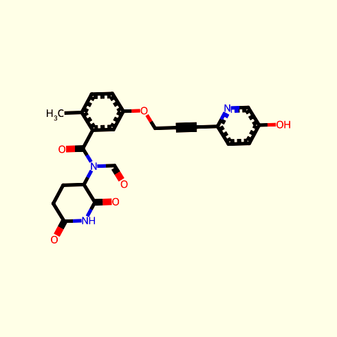 Cc1ccc(OCC#Cc2ccc(O)cn2)cc1C(=O)N(C=O)C1CCC(=O)NC1=O